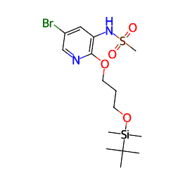 CC(C)(C)[Si](C)(C)OCCCOc1ncc(Br)cc1NS(C)(=O)=O